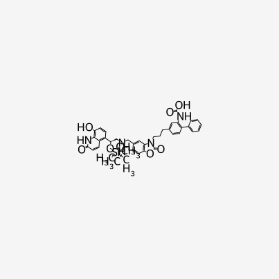 CC(C)(C)[Si](C)(C)O[C@H](CNCc1ccc2oc(=O)n(CCCc3ccc(-c4ccccc4)c(NC(=O)O)c3)c2c1)c1ccc(O)c2[nH]c(=O)ccc12